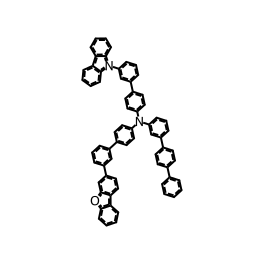 c1ccc(-c2ccc(-c3cccc(N(c4ccc(-c5cccc(-c6ccc7c(c6)oc6ccccc67)c5)cc4)c4ccc(-c5cccc(-n6c7ccccc7c7ccccc76)c5)cc4)c3)cc2)cc1